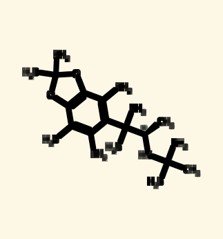 Bc1c(B)c(C(B)(B)[C@@H](C)NC(B)(B)C)c(B)c2c1OC(B)(B)O2